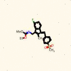 CCO/C(=N\CC1=C(C)C(=Cc2ccc(S(C)(=O)=O)cc2)c2ccc(F)cc21)OC